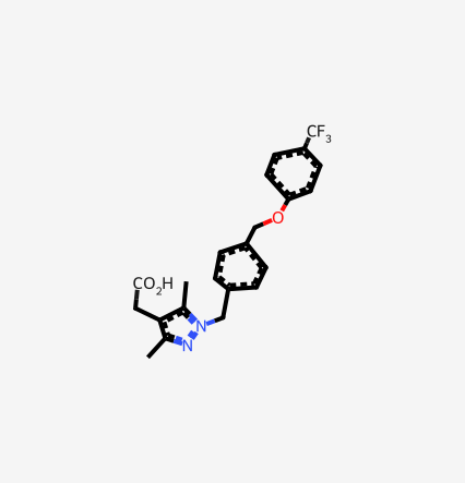 Cc1nn(Cc2ccc(COc3ccc(C(F)(F)F)cc3)cc2)c(C)c1CC(=O)O